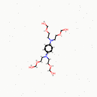 OCOCCN(CCOCO)c1ccc(N(CCOCO)CCOCO)cc1